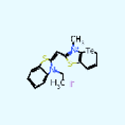 CCN1C(=Cc2sc3c([n+]2C)[Te]CC=C3)Sc2ccccc21.[I-]